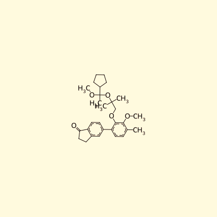 COc1c(C)ccc(-c2ccc3c(c2)CCC3=O)c1OCC(C)(C)OC(C)(OC)C1CCCC1